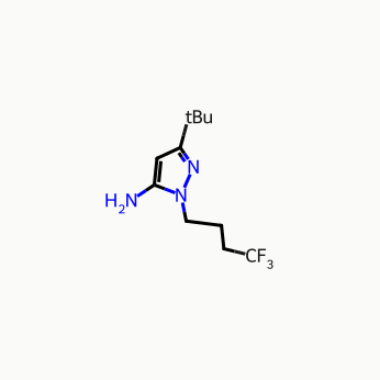 CC(C)(C)c1cc(N)n(CCCC(F)(F)F)n1